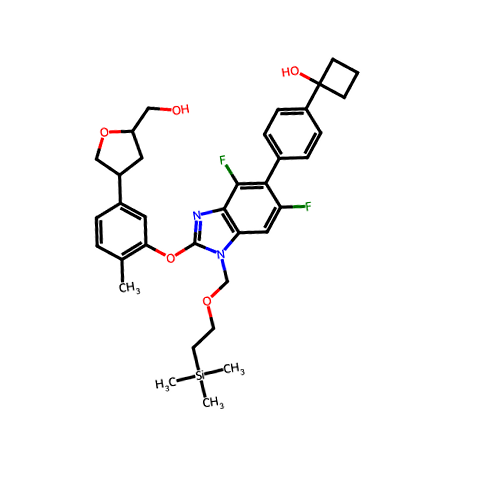 Cc1ccc(C2COC(CO)C2)cc1Oc1nc2c(F)c(-c3ccc(C4(O)CCC4)cc3)c(F)cc2n1COCC[Si](C)(C)C